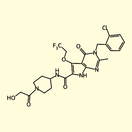 Cc1nc2[nH]c(C(=O)NC3CCN(C(=O)CO)CC3)c(OCC(F)(F)F)c2c(=O)n1Cc1ccccc1Cl